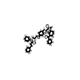 COC(=O)[C@H](Cc1ccc(OCCCN(C(=O)/C=C/c2ccccc2)c2ccccc2)cc1)Nc1ccccc1C(=O)c1ccccc1